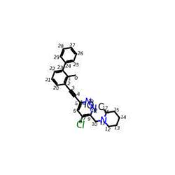 Cc1c(C#Cc2cc(Cl)c(CN3CCCCC3C(=O)O)nn2)cccc1-c1ccccc1